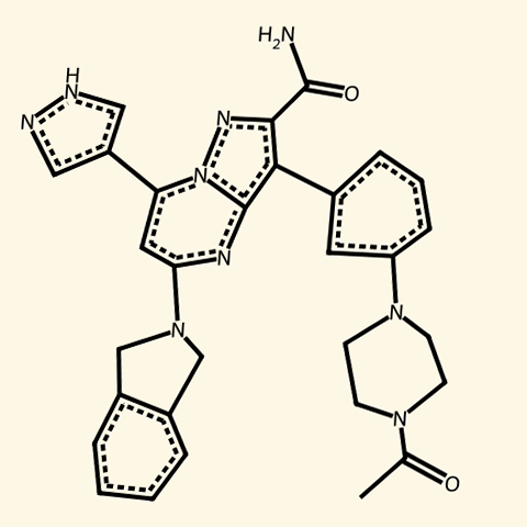 CC(=O)N1CCN(c2cccc(-c3c(C(N)=O)nn4c(-c5cn[nH]c5)cc(N5Cc6ccccc6C5)nc34)c2)CC1